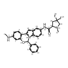 CNc1ccc2c(c1)OC(c1ccccc1)n1c-2cc2cc(NC(=O)C3CC(F)(F)CN3C)ccc21